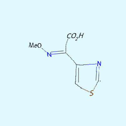 CON=C(C(=O)O)c1cs[c]n1